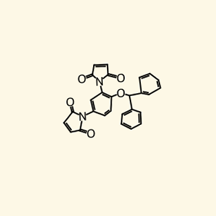 O=C1C=CC(=O)N1c1ccc(OC(c2ccccc2)c2ccccc2)c(N2C(=O)C=CC2=O)c1